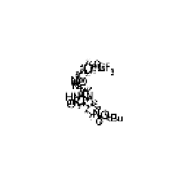 CC(C)(C)OC(=O)N1CCC(c2cc(=O)[nH]c3c(-c4nnc(Cc5ccc(OC(F)(F)F)cc5)o4)cnn23)CC1